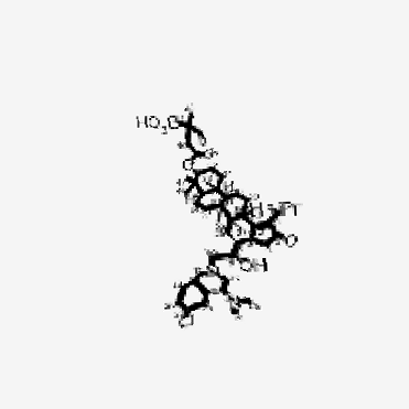 CC(C)C1=C2C(CC1=O)[C@@H]([C@@H](O)CN(CCN(C)C)Cc1ccc(Cl)cc1)C[C@]1(C)[C@@H]2CC[C@@H]2[C@@]3(C)CC[C@H](OC(=O)CC(C)(C)C(=O)O)C(C)(C)[C@@H]3CC[C@]21C